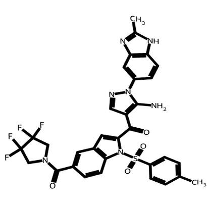 Cc1ccc(S(=O)(=O)n2c(C(=O)c3cnn(-c4ccc5[nH]c(C)nc5c4)c3N)cc3cc(C(=O)N4CC(F)(F)C(F)(F)C4)ccc32)cc1